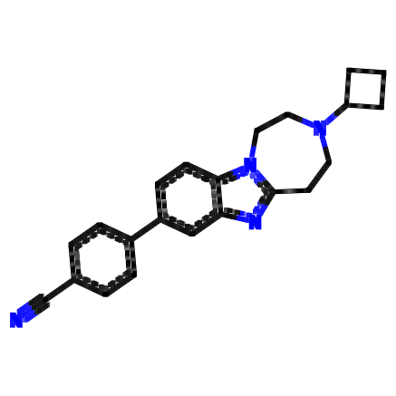 N#Cc1ccc(-c2ccc3c(c2)nc2n3CCN(C3CCC3)CC2)cc1